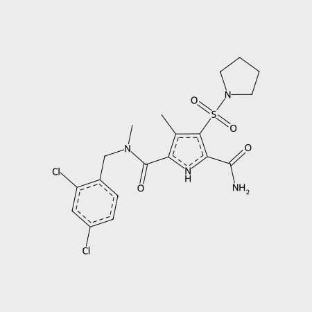 Cc1c(C(=O)N(C)Cc2ccc(Cl)cc2Cl)[nH]c(C(N)=O)c1S(=O)(=O)N1CCCC1